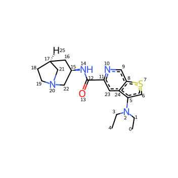 CCN(CC)c1csc2cnc(C(=O)N[C@@H]3C[C@@H]4CCN(C4)C3)cc12